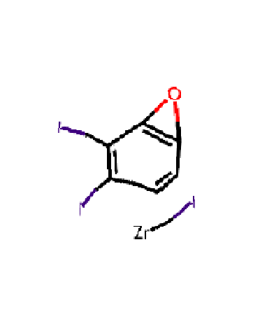 Ic1ccc2c(c1I)O2.[Zr][I]